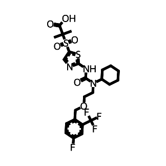 CC(C)(C(=O)O)S(=O)(=O)c1cnc(NC(=O)N(CCOCc2ccc(F)cc2C(F)(F)F)C2CCCCC2)s1